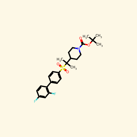 CC(C)(C)OC(=O)N1CCC(C(C)(C)S(=O)(=O)c2ccc(-c3ccc(F)cc3F)cc2)CC1